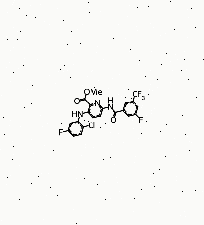 COC(=O)c1nc(NC(=O)c2cc(F)cc(C(F)(F)F)c2)ccc1Nc1cc(F)ccc1Cl